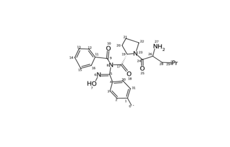 [CH2]c1ccc(C(=NO)N(C(=O)c2ccccc2)C(=O)[C@@H]2CCCN2C(=O)C(N)CC(C)C)cc1